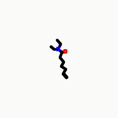 C=CCCCCC(=O)N(CC)CC